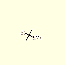 CCC(C)(C)SC